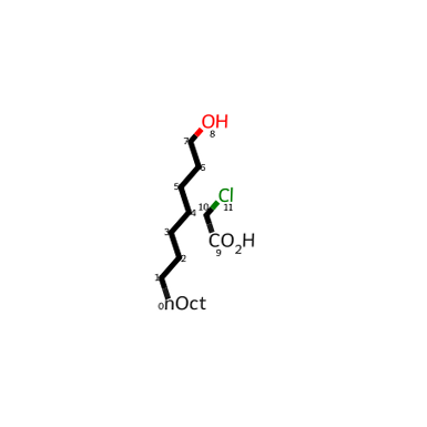 CCCCCCCCCCCCCCCO.O=C(O)CCl